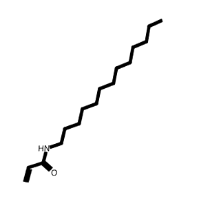 C=CC(=O)NCCCCCCCCCCCCC